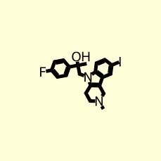 CN1CCc2c(c3cc(I)ccc3n2CC(C)(O)c2ccc(F)cc2)C1